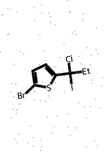 CCC(Cl)(I)c1ccc(Br)s1